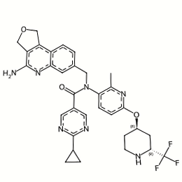 Cc1nc(O[C@@H]2CCN[C@@H](C(F)(F)F)C2)ccc1N(Cc1ccc2c3c(c(N)nc2c1)COC3)C(=O)c1cnc(C2CC2)nc1